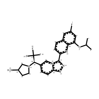 CC(C)Oc1cc(F)cc2ccc(-c3nnc4ccc([C@@H](N5CCC(N)C5)C(F)(F)F)cn34)nc12